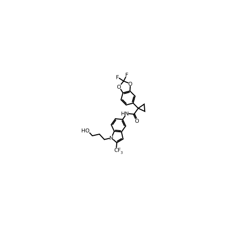 O=C(Nc1ccc2c(c1)cc(C(F)(F)F)n2CCCO)C1(c2ccc3c(c2)OC(F)(F)O3)CC1